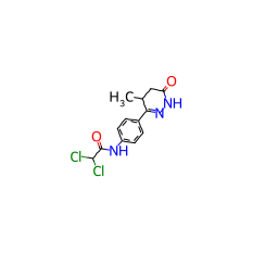 CC1CC(=O)NN=C1c1ccc(NC(=O)C(Cl)Cl)cc1